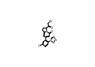 O=C(CBr)C1CCc2cc(-c3cc(Cl)ccc3-n3cnnn3)cc(=O)n21